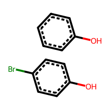 Oc1ccc(Br)cc1.Oc1ccccc1